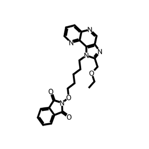 CCOCc1nc2cnc3cccnc3c2n1CCCCCON1C(=O)c2ccccc2C1=O